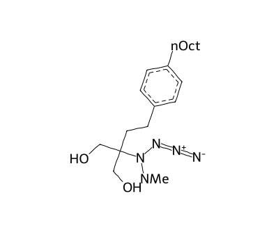 CCCCCCCCc1ccc(CCC(CO)(CO)N(N=[N+]=[N-])NC)cc1